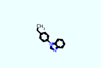 CCc1ccc(-n2cnc3ccccc32)cc1